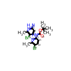 Cc1nc(N)ccc1Br.Cc1nc(NC(=O)OC(C)(C)C)ccc1Br